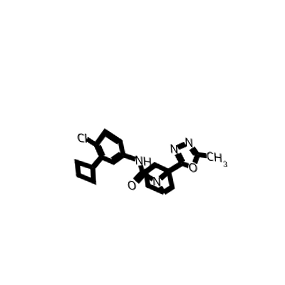 Cc1nnc(C23CCCC(C2)N3C(=O)Nc2ccc(Cl)c(C3CCC3)c2)o1